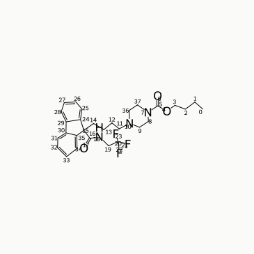 CCCCOC(=O)N1CCN(CCCCC2(C(=O)NCC(F)(F)F)c3ccccc3-c3ccccc32)CC1